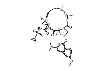 COc1ccc2c(O[C@@H]3C[C@H]4C(=O)N[C@]5(C(=O)NS(=O)(=O)C6CC6)C[C@H]5/C=C\CC[C@H](C)C[C@@H](C)CC(=O)N4C3)nc(N(C)C)cc2c1